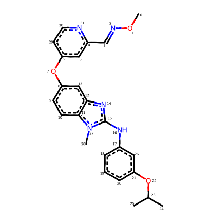 CO/N=C/c1cc(Oc2ccc3c(c2)nc(Nc2cccc(OC(C)C)c2)n3C)ccn1